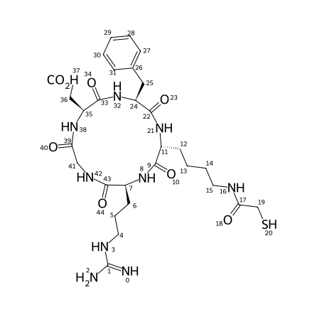 N=C(N)NCCC[C@@H]1NC(=O)[C@@H](CCCCNC(=O)CS)NC(=O)[C@H](Cc2ccccc2)NC(=O)[C@H](CC(=O)O)NC(=O)CNC1=O